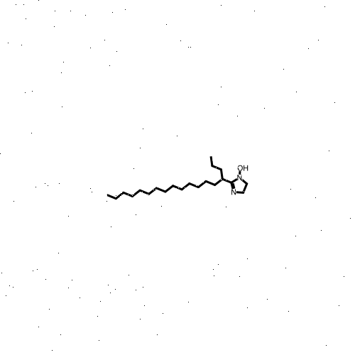 CCCCCCCCCCCCCCC(CCC)C1=NCCN1O